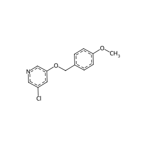 COc1ccc(COc2cncc(Cl)c2)cc1